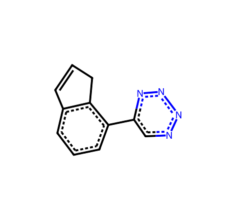 C1=Cc2cccc(-c3cnnnn3)c2C1